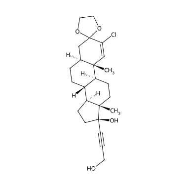 C[C@]12C=C(Cl)C3(C[C@@H]1CC[C@@H]1[C@@H]2CC[C@@]2(C)[C@H]1CC[C@@]2(O)C#CCO)OCCO3